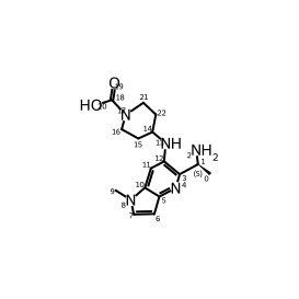 C[C@H](N)c1nc2ccn(C)c2cc1NC1CCN(C(=O)O)CC1